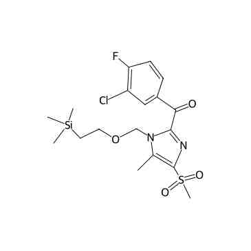 Cc1c(S(C)(=O)=O)nc(C(=O)c2ccc(F)c(Cl)c2)n1COCC[Si](C)(C)C